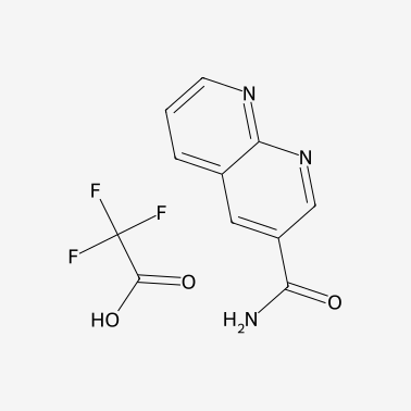 NC(=O)c1cnc2ncccc2c1.O=C(O)C(F)(F)F